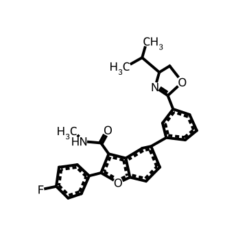 CNC(=O)c1c(-c2ccc(F)cc2)oc2ccc(-c3cccc(C4=NC(C(C)C)CO4)c3)cc12